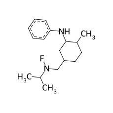 CC1CCC(CN(F)C(C)C)CC1Nc1ccccc1